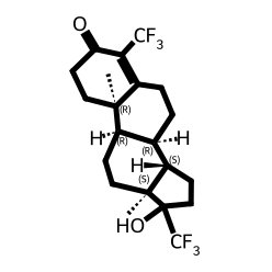 C[C@]12CCC(=O)C(C(F)(F)F)=C1CC[C@@H]1[C@H]2CC[C@@]2(C)[C@H]1CCC2(O)C(F)(F)F